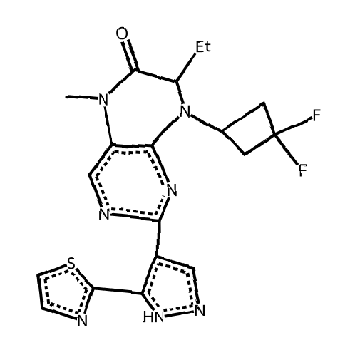 CCC1C(=O)N(C)c2cnc(-c3cn[nH]c3-c3nccs3)nc2N1C1CC(F)(F)C1